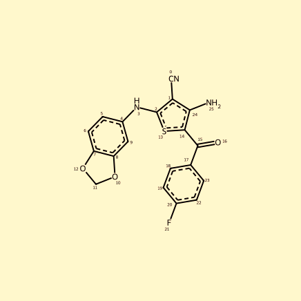 N#Cc1c(Nc2ccc3c(c2)OCO3)sc(C(=O)c2ccc(F)cc2)c1N